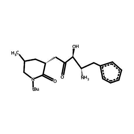 CC1C[C@H](CC(=O)[C@@H](O)[C@@H](N)Cc2ccccc2)C(=O)N(C(C)(C)C)C1